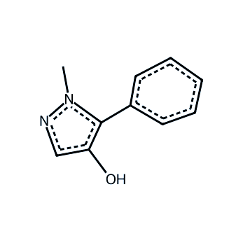 Cn1ncc(O)c1-c1ccccc1